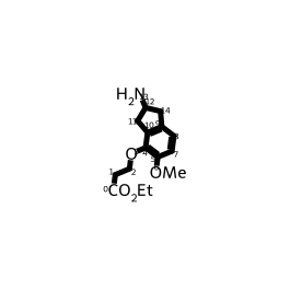 CCOC(=O)CCOc1c(OC)ccc2c1CC(N)C2